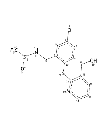 [O-][S+](NCc1cc(Cl)ccc1Sc1ncccc1CO)C(F)(F)F